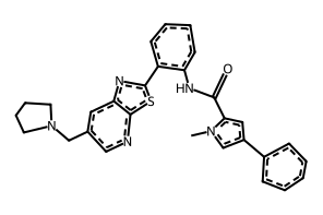 Cn1cc(-c2ccccc2)cc1C(=O)Nc1ccccc1-c1nc2cc(CN3CCCC3)cnc2s1